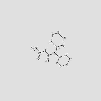 NC(=O)CC(=O)N(C1CCCCC1)C1CCCCC1